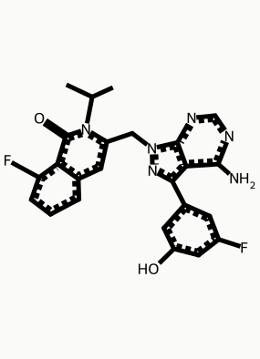 CC(C)n1c(Cn2nc(-c3cc(O)cc(F)c3)c3c(N)ncnc32)cc2cccc(F)c2c1=O